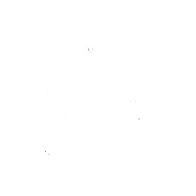 COc1ccccc1C(CO[Si](C)(C)C(C)(C)C)OC1C[C@H]2C/C(=C\C#N)C[C@H]2C1